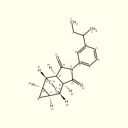 CCC(C)c1cccc(N2C(=O)[C@@H]3[C@@H]4CC[C@@H]([C@H]5C[C@H]54)[C@@H]3C2=O)c1